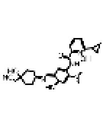 CN(C)C1=CC(=N)/C(=C\N=C2CCC(O)(CC#N)CC2)C=C1NC(=O)c1cccc(C2CC2)[n+]1O